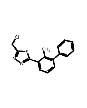 Cc1c(-c2ccccc2)cccc1-c1nnc(CCl)s1